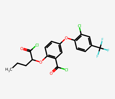 CCCC(Oc1ccc(Oc2ccc(C(F)(F)F)cc2Cl)cc1C(=O)Cl)C(=O)Cl